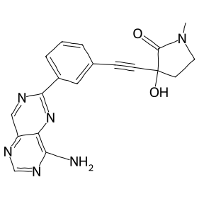 CN1CCC(O)(C#Cc2cccc(-c3ncc4ncnc(N)c4n3)c2)C1=O